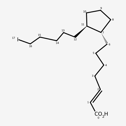 O=C(O)C=CCCCC[C@H]1CCC[C@@H]1CCCCCI